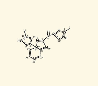 Cn1cc(NC2=N[N+]3(c4cnn(C)c4)C=CN=CC3=N2)cn1